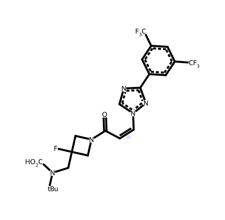 CC(C)(C)N(CC1(F)CN(C(=O)/C=C\n2cnc(-c3cc(C(F)(F)F)cc(C(F)(F)F)c3)n2)C1)C(=O)O